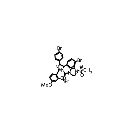 COc1ccc(C2=NC(c3ccc(Br)cc3)C(c3ccc(Br)cc3)N2C(=O)N2CCN(S(C)(=O)=O)CC2)c(OC(C)C)c1